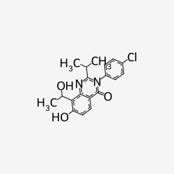 CC(C)c1nc2c(C(C)O)c(O)ccc2c(=O)n1-c1ccc(Cl)cc1